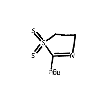 CCCCC1=NCCS1(=S)=S